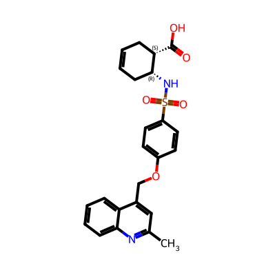 Cc1cc(COc2ccc(S(=O)(=O)N[C@@H]3CC=CC[C@@H]3C(=O)O)cc2)c2ccccc2n1